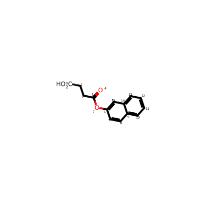 O=C(O)CCC(=O)Oc1ccc2ccccc2c1